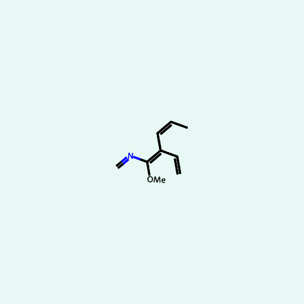 C=CC(/C=C\C)=C(/N=C)OC